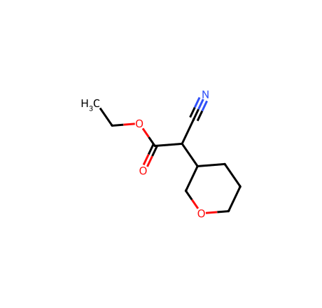 CCOC(=O)C(C#N)C1CCCOC1